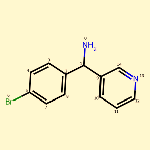 NC(c1ccc(Br)cc1)c1cccnc1